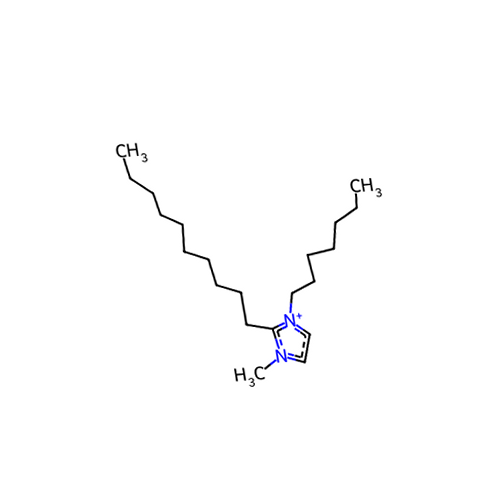 CCCCCCCCCCc1n(C)cc[n+]1CCCCCCC